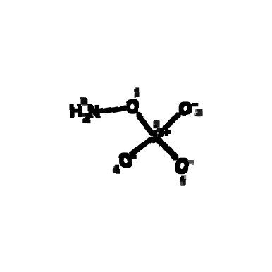 NO[I+3]([O-])([O-])[O-]